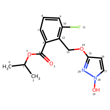 CC(C)OC(=O)c1cccc(F)c1COc1ccn(O)n1